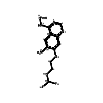 CCCCCNc1ncnc2cc(OCCOC(F)F)c([N+](=O)[O-])cc12